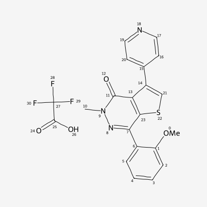 COc1ccccc1-c1nn(C)c(=O)c2c(-c3ccncc3)csc12.O=C(O)C(F)(F)F